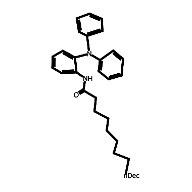 CCCCCCCCCCCCCCCCCC(=O)Nc1ccccc1N(c1ccccc1)c1ccccc1